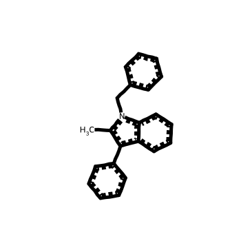 Cc1c(-c2ccccc2)c2ccccc2n1Cc1ccccc1